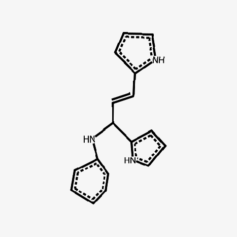 C(=CC(Nc1ccccc1)c1ccc[nH]1)c1ccc[nH]1